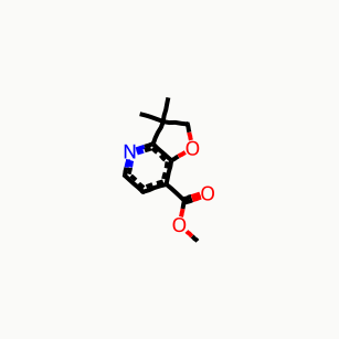 COC(=O)c1ccnc2c1OCC2(C)C